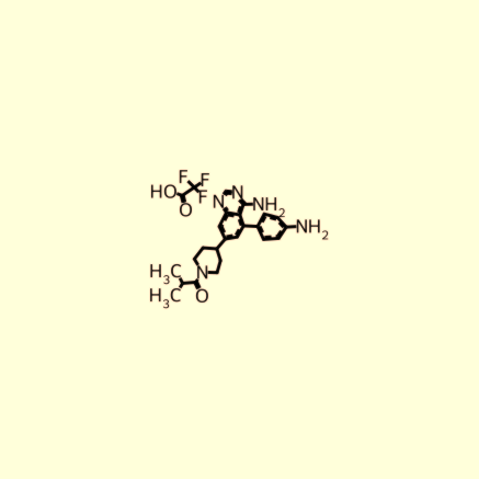 CC(C)C(=O)N1CCC(c2cc(-c3ccc(N)cc3)c3c(N)ncnc3c2)CC1.O=C(O)C(F)(F)F